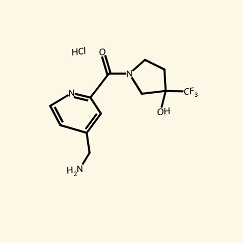 Cl.NCc1ccnc(C(=O)N2CCC(O)(C(F)(F)F)C2)c1